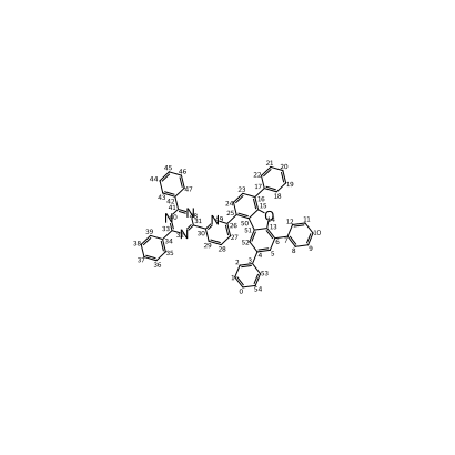 c1ccc(-c2cc(-c3ccccc3)c3oc4c(-c5ccccc5)ccc(-c5cccc(-c6nc(-c7ccccc7)nc(-c7ccccc7)n6)n5)c4c3c2)cc1